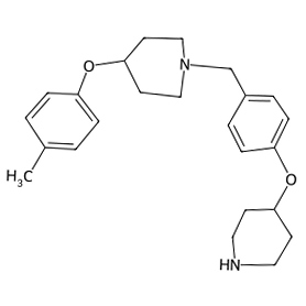 Cc1ccc(OC2CCN(Cc3ccc(OC4CCNCC4)cc3)CC2)cc1